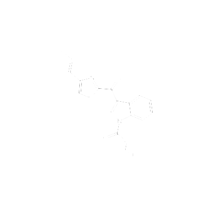 C[SH]=Cc1csc(C(=O)c2cn(C(=O)OC(C)(C)C)c3ccccc23)n1